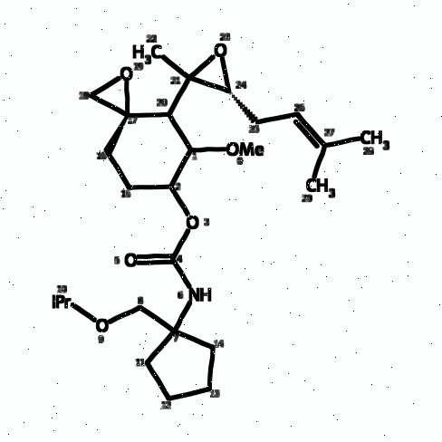 COC1C(OC(=O)NC2(COC(C)C)CCCC2)CC[C@]2(CO2)C1C1(C)O[C@@H]1CC=C(C)C